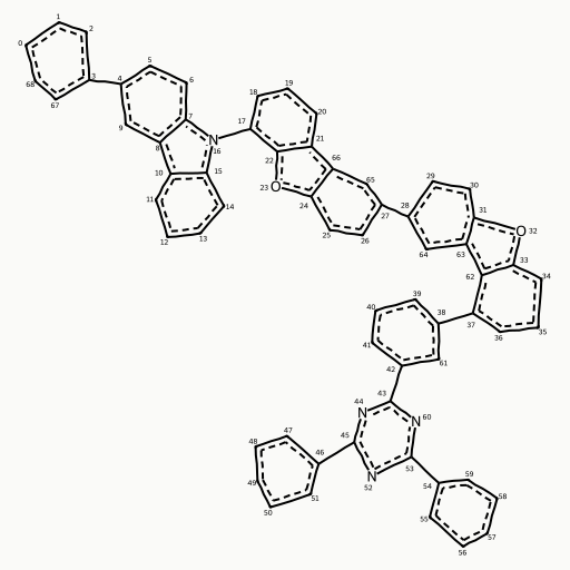 c1ccc(-c2ccc3c(c2)c2ccccc2n3-c2cccc3c2oc2ccc(-c4ccc5oc6cccc(-c7cccc(-c8nc(-c9ccccc9)nc(-c9ccccc9)n8)c7)c6c5c4)cc23)cc1